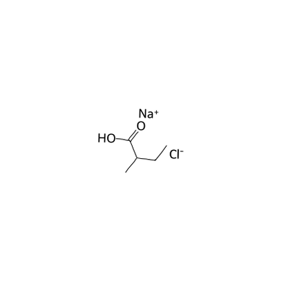 CCC(C)C(=O)O.[Cl-].[Na+]